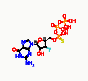 Nc1nc2c(ncn2[C@@H]2O[C@H](COP(O)(=S)OP(=O)(O)OP(=O)(O)O)C(F)C2O)c(=O)[nH]1